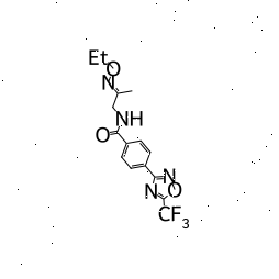 CCO/N=C(\C)CNC(=O)c1ccc(-c2noc(C(F)(F)F)n2)cc1